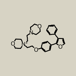 c1ccc(-c2ccoc2-c2ccc(OCC[N+]3(CCN4CCOCC4)CCOCC3)cc2)cc1